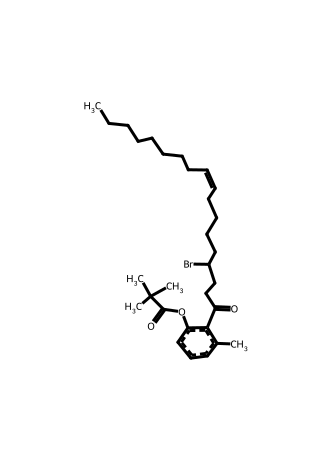 CCCCCCCC/C=C\CCCCC(Br)CCC(=O)c1c(C)cccc1OC(=O)C(C)(C)C